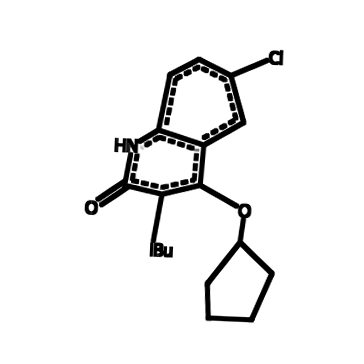 CCC(C)c1c(OC2CCCC2)c2cc(Cl)ccc2[nH]c1=O